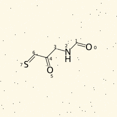 O=CNCC(=O)[C]=S